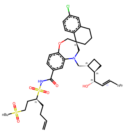 C=CCC[C@@H](CCS(=O)(=O)CCCC)S(=O)(=O)NC(=O)c1ccc2c(c1)N(C[C@@H]1CC[C@H]1[C@@H](O)/C=C/CCC)C[C@@]1(CCCc3cc(Cl)ccc31)CO2